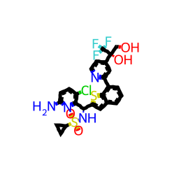 Nc1ccc(Cl)c([C@@H](NS(=O)(=O)C2CC2)c2cc3cccc(-c4cc([C@@](O)(CO)C(F)(F)F)ccn4)c3s2)n1